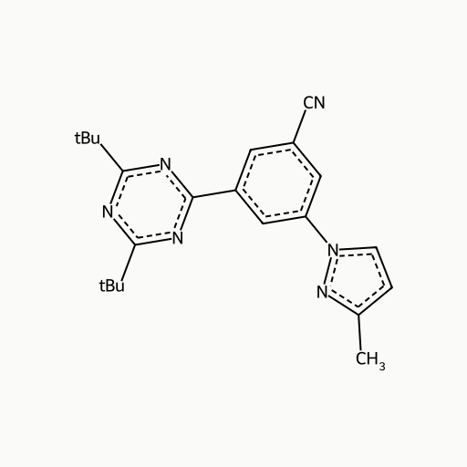 Cc1ccn(-c2cc(C#N)cc(-c3nc(C(C)(C)C)nc(C(C)(C)C)n3)c2)n1